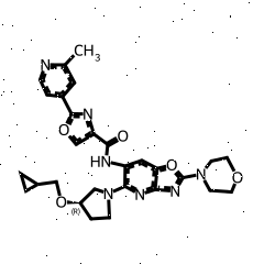 Cc1cc(-c2nc(C(=O)Nc3cc4oc(N5CCOCC5)nc4nc3N3CC[C@@H](OCC4CC4)C3)co2)ccn1